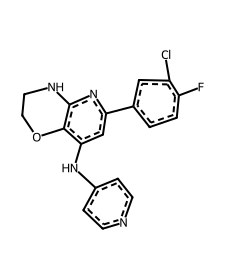 Fc1ccc(-c2cc(Nc3ccncc3)c3c(n2)NCCO3)cc1Cl